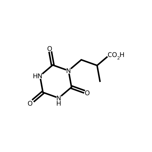 CC(Cn1c(=O)[nH]c(=O)[nH]c1=O)C(=O)O